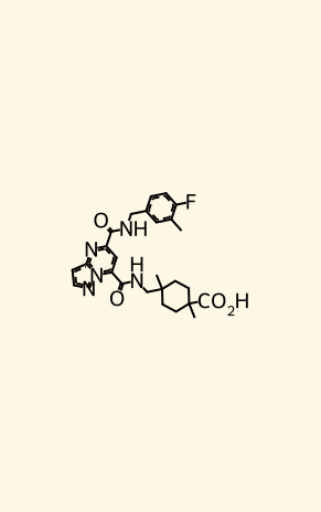 Cc1cc(CNC(=O)c2cc(C(=O)NCC3(C)CCC(C)(C(=O)O)CC3)n3nccc3n2)ccc1F